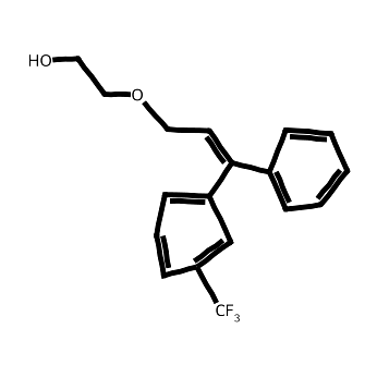 OCCOCC=C(c1ccccc1)c1cccc(C(F)(F)F)c1